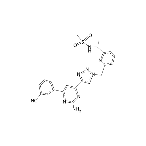 C[C@@H](NS(C)(=O)=O)c1cccc(Cn2cc(-c3cc(-c4cccc(C#N)c4)nc(N)n3)nn2)n1